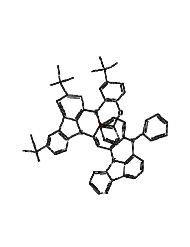 CC(C)(C)c1ccc2c(c1)B1c3c(cc(-n4c5ccccc5c5cccc(N(c6ccccc6)c6ccccc6)c54)cc3-n3c4ccc(C(C)(C)C)cc4c4cc(C(C)(C)C)cc1c43)O2